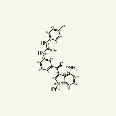 Cc1ccc(NC(=O)Nc2cccc(C(=O)c3cn(C(C)C)c4ncnc(N)c34)c2)cc1